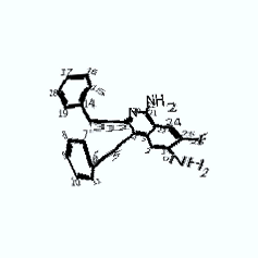 Nc1cc2c(Cc3ccccc3)c(Cc3ccccc3)nc(N)c2cc1F